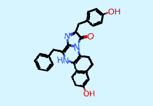 O=c1c(Cc2ccc(O)cc2)nc2c(Cc3ccccc3)[nH]c3c(n1-2)CCC1=C3CCC(O)=C1